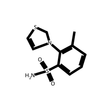 Cc1cccc(S(N)(=O)=O)c1N1C=CSC1